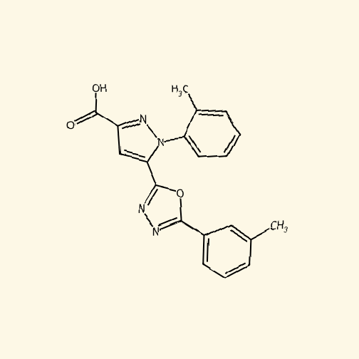 Cc1cccc(-c2nnc(-c3cc(C(=O)O)nn3-c3ccccc3C)o2)c1